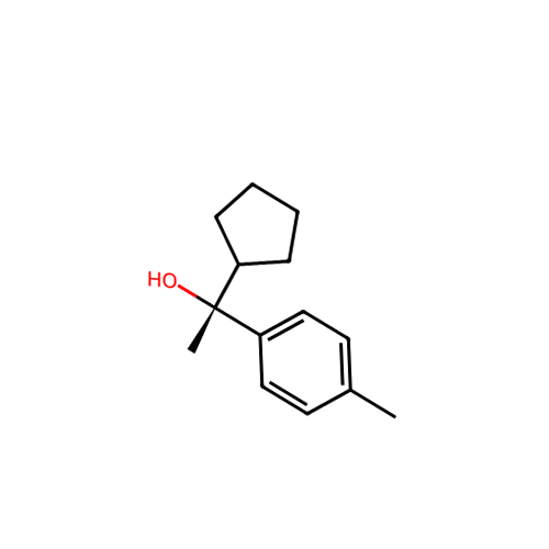 Cc1ccc([C@](C)(O)C2CCCC2)cc1